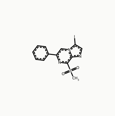 CS(=O)(=O)c1nc(-c2ccccc2)cn2c(I)cnc12